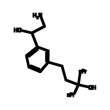 CCCC(O)(CCC)CCc1cccc(C(O)CN)c1